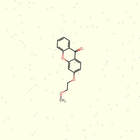 COCCOc1ccc2c(=O)c3ccccc3oc2c1